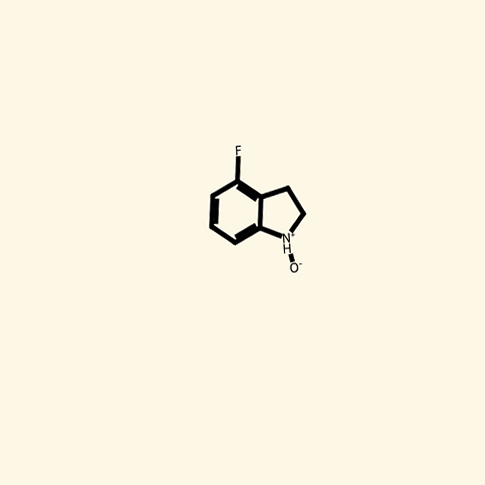 [O-][NH+]1CCc2c(F)cccc21